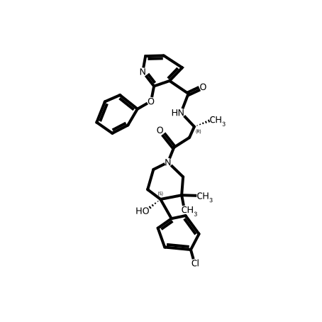 C[C@H](CC(=O)N1CC[C@](O)(c2ccc(Cl)cc2)C(C)(C)C1)NC(=O)c1cccnc1Oc1ccccc1